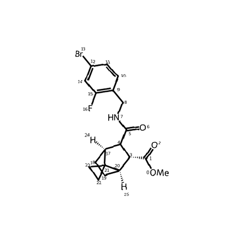 COC(=O)[C@H]1C(C(=O)NCc2ccc(Br)cc2F)[C@@H]2CC[C@H]1C21CC1